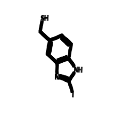 SCc1ccc2[nH]c(I)nc2c1